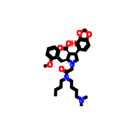 CCCCN(CCCCN(C)C)C(=O)CN1C[C@H](c2ccc3c(c2)OCO3)[C@@H](C(=O)O)[C@@H]1Cc1ccccc1OC